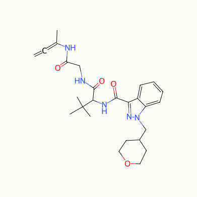 C=C=C(C)NC(=O)CNC(=O)C(NC(=O)c1nn(CC2CCOCC2)c2ccccc12)C(C)(C)C